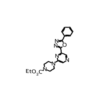 CCOC(=O)N1CCN(c2cncc(-c3nnc(-c4ccccc4)o3)n2)CC1